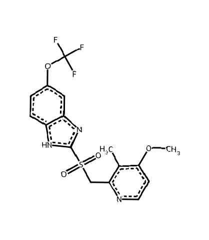 COc1ccnc(CS(=O)(=O)c2nc3cc(OC(F)(F)F)ccc3[nH]2)c1C